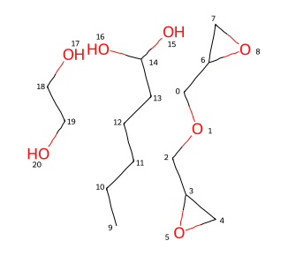 C(OCC1CO1)C1CO1.CCCCCC(O)O.OCCO